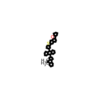 CC1(C)c2ccccc2-c2ccc(-c3c4ccccc4c(-c4ccc5sc6cc7c(ccc8c9ccccc9oc78)cc6c5c4)c4ccccc34)cc21